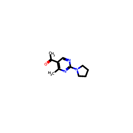 CC(=O)c1cnc(N2CCCC2)nc1C